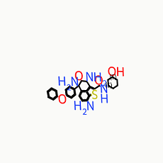 Nc1ccc2c3c(c(C(=O)N[C@H]4CCC[C@H](O)C4)sc13)C(N)C(=O)C2(N)c1ccc(Oc2ccccc2)cc1